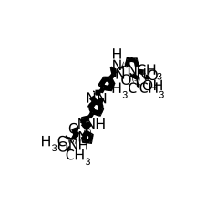 CC[C@H](NC(C)=O)C(=O)N1CCC[C@H]1c1ncc(-c2ccc3nc(-c4ccc(-c5c[nH]c([C@@H]6CCCN6C(=O)[C@H](C(C)C)N(C)C(=O)O)n5)cc4)cnc3c2)[nH]1